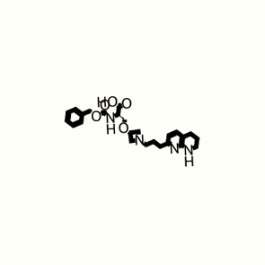 O=C(N[C@@H](COC1CN(CCCc2ccc3c(n2)NCCC3)C1)C(=O)O)OCc1ccccc1